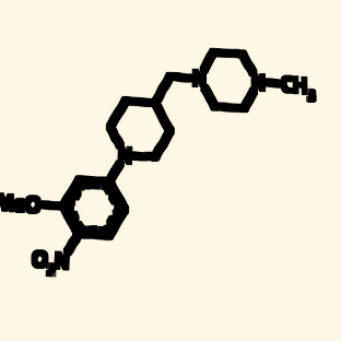 COc1cc(N2CCC(CN3CCN(C)CC3)CC2)ccc1[N+](=O)[O-]